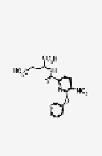 O=C(O)CCC(NC(=O)c1ccc([N+](=O)[O-])c(Oc2ccccc2)n1)C(=O)O